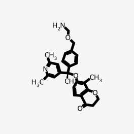 Cc1cc([C@@](C)(Oc2ccc3c(c2C)OCCC3=O)c2ccc(COCN)cc2)cc(C)n1